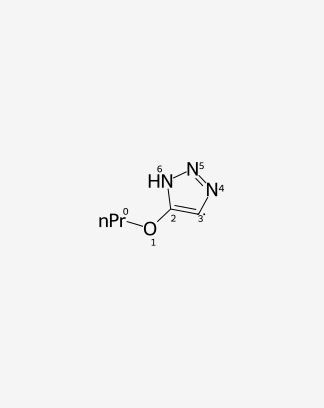 CCCOc1[c]nn[nH]1